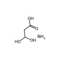 O=C(O)CC(O)O.[BiH3]